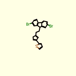 Brc1ccc2c(c1)C(CCC1=CC(c3cccs3)=CC1)c1cc(Br)ccc1-2